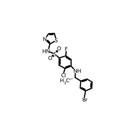 C[C@H](Nc1cc(F)c(S(=O)(=O)Nc2nccs2)cc1Cl)c1cccc(Br)c1